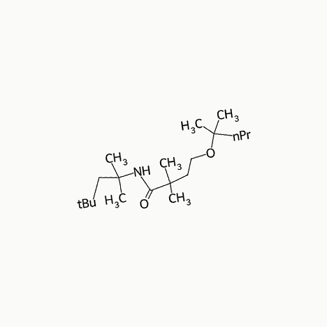 CCCC(C)(C)OCCC(C)(C)C(=O)NC(C)(C)CC(C)(C)C